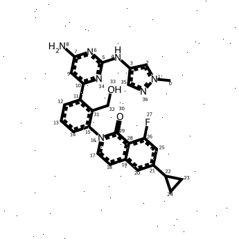 Cn1cc(Nc2nc(N)cc(-c3cccc(-n4ccc5cc(C6CC6)cc(F)c5c4=O)c3CO)n2)cn1